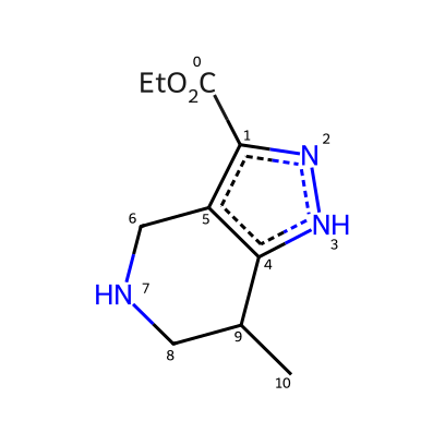 CCOC(=O)c1n[nH]c2c1CNCC2C